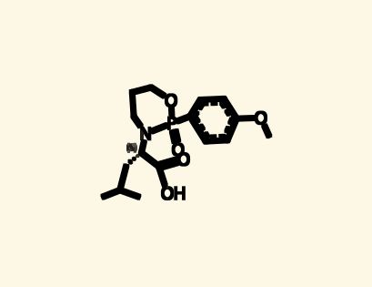 COc1ccc(P2(=O)OCCCN2[C@@H](CC(C)C)C(=O)O)cc1